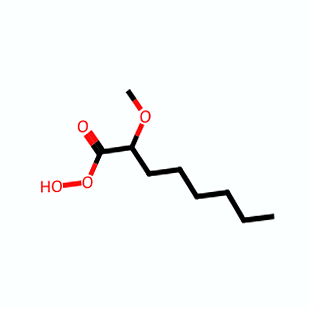 CCCCCCC(OC)C(=O)OO